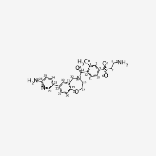 Cc1cc(S(=O)(=O)CCN)ccc1C(=O)N1CCOc2ccc(-c3ccc(N)nc3)cc2C1